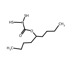 CCCCC(CCCC)OC(=O)N(S)S